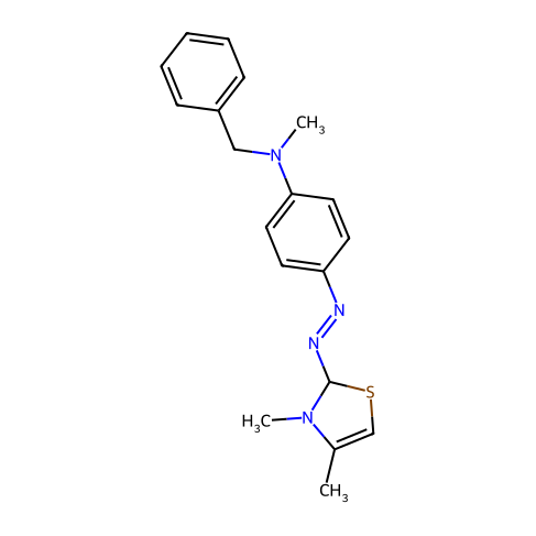 CC1=CSC(N=Nc2ccc(N(C)Cc3ccccc3)cc2)N1C